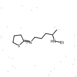 CCNC(C)CCC/N=C1\CCCS1